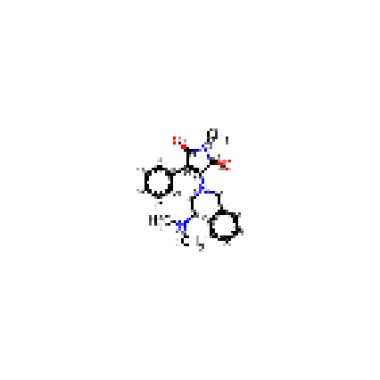 CN(C)CCN(Cc1ccccc1)C1=C(c2ccccc2)C(=O)N(C)C1=O